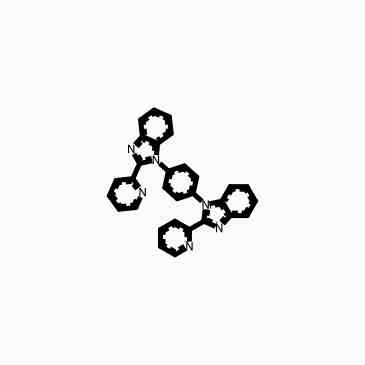 c1ccc(-c2nc3ccccc3n2-c2ccc(-n3c(-c4ccccn4)nc4ccccc43)cc2)nc1